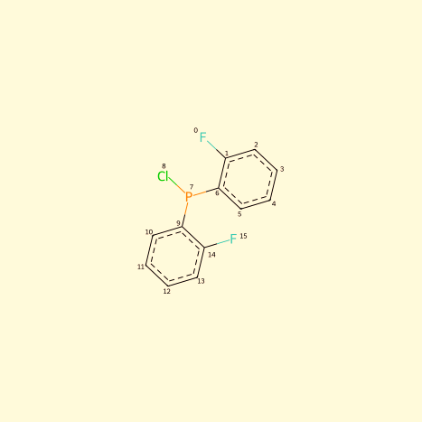 Fc1ccccc1P(Cl)c1ccccc1F